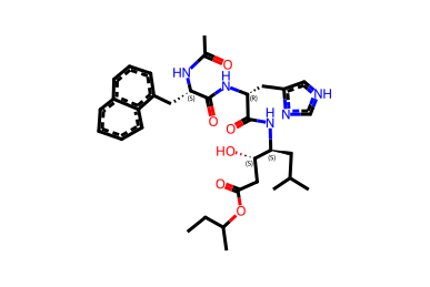 CCC(C)OC(=O)C[C@H](O)[C@H](CC(C)C)NC(=O)[C@@H](Cc1c[nH]cn1)NC(=O)[C@H](Cc1cccc2ccccc12)NC(C)=O